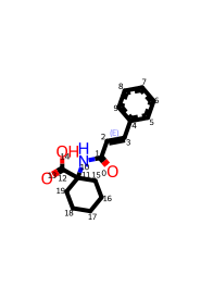 O=C(/C=C/c1ccccc1)NC1(C(=O)O)CCCCC1